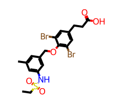 CCS(=O)(=O)Nc1cc(C)cc(COc2c(Br)cc(CCC(=O)O)cc2Br)c1